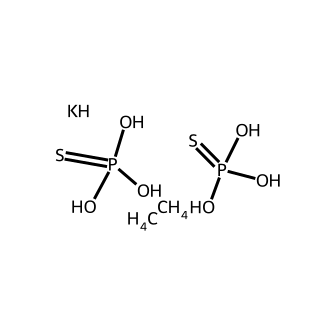 C.C.OP(O)(O)=S.OP(O)(O)=S.[KH]